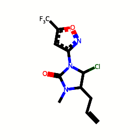 C=CCC1C(Cl)N(c2cc(C(F)(F)F)on2)C(=O)N1C